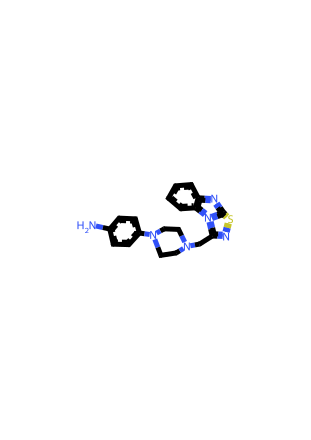 Nc1ccc(N2CCN(Cc3nsc4nc5ccccc5n34)CC2)cc1